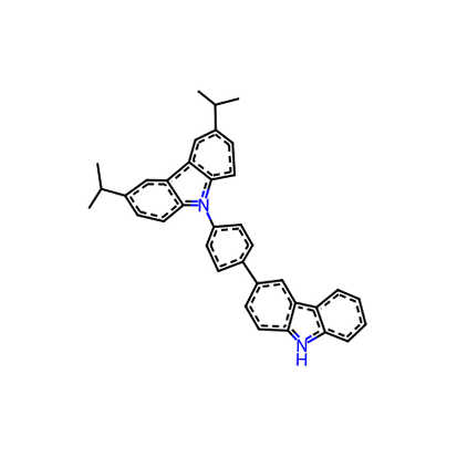 CC(C)c1ccc2c(c1)c1cc(C(C)C)ccc1n2-c1ccc(-c2ccc3[nH]c4ccccc4c3c2)cc1